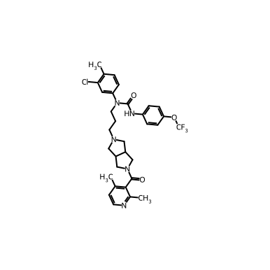 Cc1ccc(N(CCCN2CC3CN(C(=O)c4c(C)ccnc4C)CC3C2)C(=O)Nc2ccc(OC(F)(F)F)cc2)cc1Cl